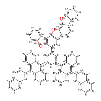 c1ccc2cc(-c3c4ccccc4c(-c4cc(-c5c6ccccc6c(-c6ccc7ccccc7c6)c6ccccc56)cc(-c5cc6c7ccc8c9ccccc9oc8c7oc6c6c5oc5ccccc56)c4)c4ccccc34)ccc2c1